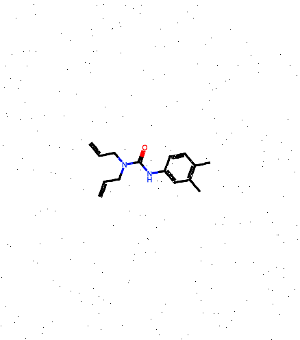 C=CCN(CC=C)C(=O)Nc1ccc(C)c(C)c1